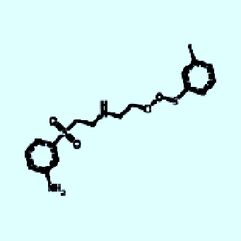 Cc1cccc(SOOCCNCCS(=O)(=O)c2cccc(N)c2)c1